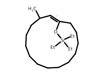 CC[Si](CC)(CC)O/C1=C\C(C)CCCCCCCCCCCC1